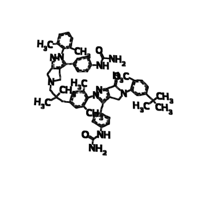 Cc1ccc(C(C)(C)C)cc1N1Cc2c(nn(-c3c(C)cc(CC(C)(C)CN4Cc5nn(-c6c(C)cccc6C)c(-c6ccc(NC(N)=O)cc6)c5C4)cc3C)c2-c2ccc(NC(N)=O)cc2)C1=O